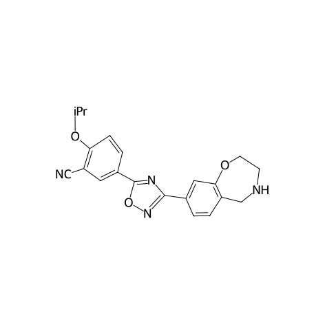 CC(C)Oc1ccc(-c2nc(-c3ccc4c(c3)OCCNC4)no2)cc1C#N